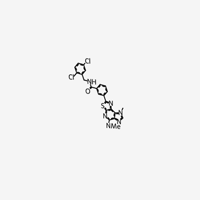 CNc1nc2sc(-c3cccc(C(=O)NCc4cc(Cl)ccc4Cl)c3)nc2c2c1ncn2C